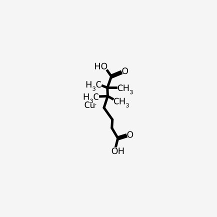 CC(C)(CCCC(=O)O)C(C)(C)C(=O)O.[Cu]